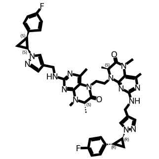 Cc1nc(NCc2cnn([C@@H]3C[C@@H]3c3ccc(F)cc3)c2)nc2c1N(C)C(=O)[C@H](C)N2CCN1C(=O)[C@H](C)N(C)c2nc(NCc3cnn([C@H]4C[C@H]4c4ccc(F)cc4)c3)nc(C)c21